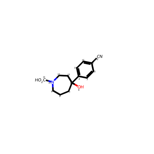 N#Cc1ccc(C2(O)CCCN(C(=O)O)CC2)cc1